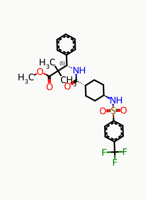 COC(=O)C(C)(C)[C@@H](NC(=O)[C@H]1CC[C@H](NS(=O)(=O)c2ccc(C(F)(F)F)cc2)CC1)c1ccccc1